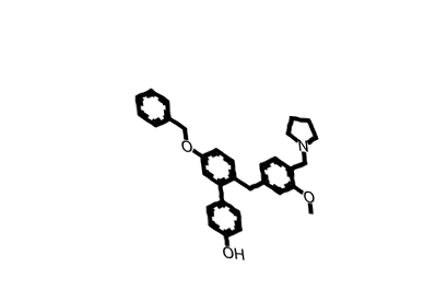 COc1cc(Cc2ccc(OCc3ccccc3)cc2-c2ccc(O)cc2)ccc1CN1CCCC1